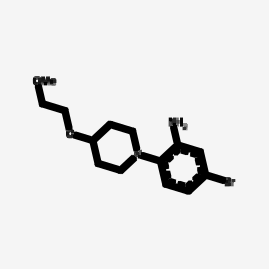 COCCOC1CCN(c2ccc(Br)cc2N)CC1